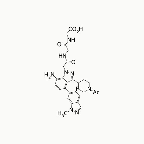 CC(=O)N1CCC(c2nn(CC(=O)NCC(=O)NCC(=O)O)c3c(N)ccc(-c4cc5c(cnn5C)cc4F)c23)CC1